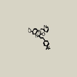 COc1ccc2c(c1)nc(/C=C/c1ccc(N(C)C)cc1)c(=O)n2Cc1ccccn1